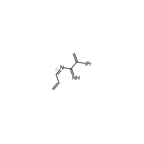 C=C/C=N\C(=N)C(=C)C(C)C